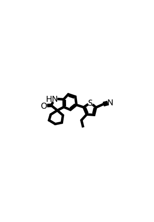 CCc1cc(C#N)sc1-c1ccc2c(c1)C1(CCCCC1)C(=O)N2